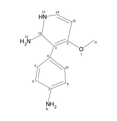 COC1=C(c2ccc(N)cc2)C(N)NC=C1